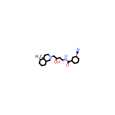 C[C@]12CCCCC1CN(CC(O)CCNC(=O)C1CCC[C@H](C#N)C1)CC2